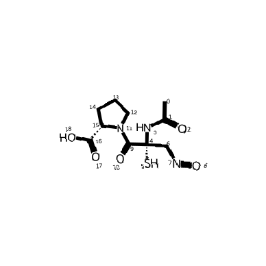 CC(=O)N[C@@](S)(CN=O)C(=O)N1CCC[C@H]1C(=O)O